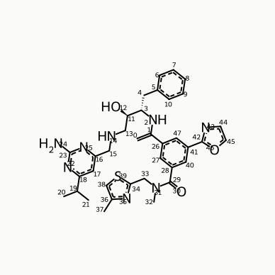 C=C(N[C@@H](Cc1ccccc1)[C@H](O)CNCc1cc(C(C)C)nc(N)n1)c1cc(C(=O)N(C)Cc2nc(C)cs2)cc(-c2ncco2)c1